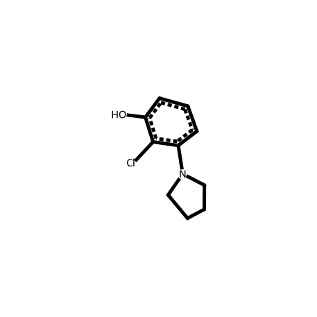 Oc1cccc(N2CCCC2)c1Cl